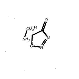 NC(=O)O.O=C1CON=N1